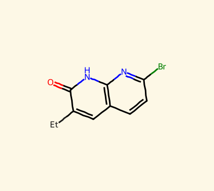 CCc1cc2ccc(Br)nc2[nH]c1=O